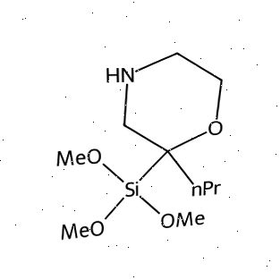 CCCC1([Si](OC)(OC)OC)CNCCO1